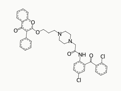 O=C(CN1CCN(CCCOc2oc3ccccc3c(=O)c2-c2ccccc2)CC1)Nc1ccc(Cl)cc1C(=O)c1ccccc1Cl